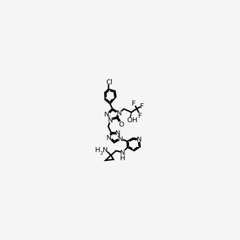 NC1(CNc2ccncc2-n2cnc(Cn3nc(-c4ccc(Cl)cc4)n(C[C@H](O)C(F)(F)F)c3=O)n2)CC1